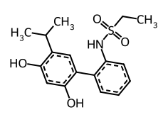 CCS(=O)(=O)Nc1ccccc1-c1cc(C(C)C)c(O)cc1O